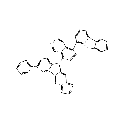 c1ccc(-c2ccc3c(c2)c2cc4ccccc4cc2n3-c2ccc(-c3cccc4c3sc3ccccc34)c3cnncc23)cc1